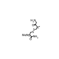 CN[C@@H](CSSC[C@H](C)C(=O)CN)C(N)=O